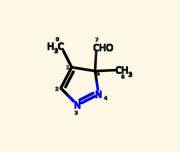 CC1=CN=NC1(C)C=O